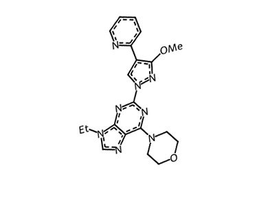 CCn1cnc2c(N3CCOCC3)nc(-n3cc(-c4ccccn4)c(OC)n3)nc21